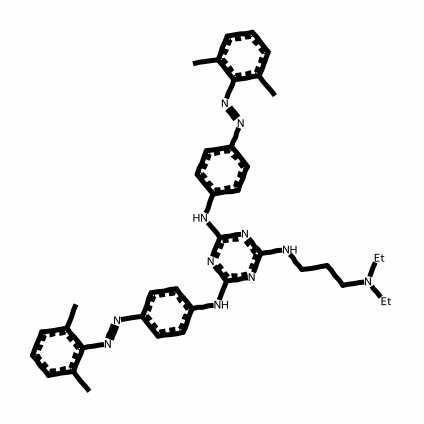 CCN(CC)CCCNc1nc(Nc2ccc(/N=N/c3c(C)cccc3C)cc2)nc(Nc2ccc(/N=N/c3c(C)cccc3C)cc2)n1